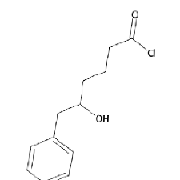 O=C(Cl)CCCC(O)Cc1ccccc1